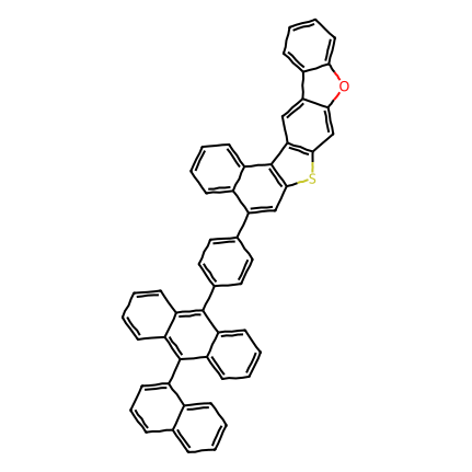 c1ccc2c(-c3c4ccccc4c(-c4ccc(-c5cc6sc7cc8oc9ccccc9c8cc7c6c6ccccc56)cc4)c4ccccc34)cccc2c1